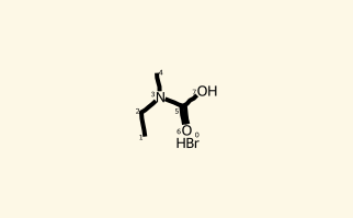 Br.CCN(C)C(=O)O